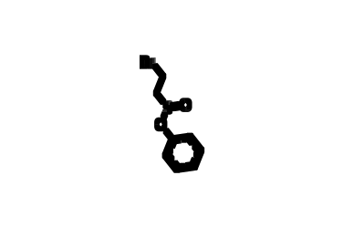 O=S(CCBr)Oc1ccccc1